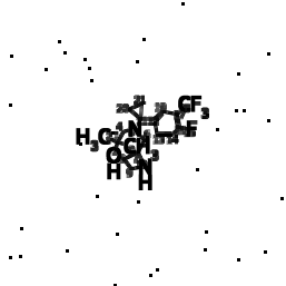 CC(C)(O)CN(CC1CCN1)C1(c2ccc(F)c(C(F)(F)F)c2)CC1